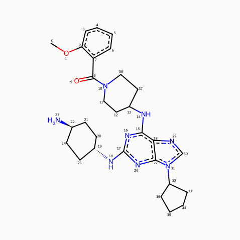 COc1ccccc1C(=O)N1CCC(Nc2nc(N[C@H]3CC[C@H](N)CC3)nc3c2ncn3C2CCCC2)CC1